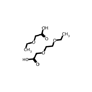 CCOCC(=O)O.CCOCCOCC(=O)O